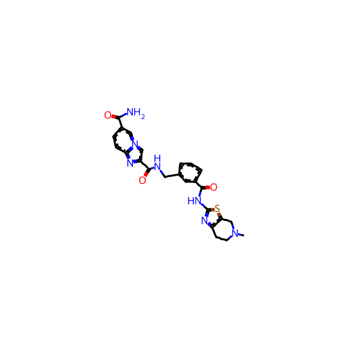 CN1CCc2nc(NC(=O)c3cccc(CNC(=O)c4cn5cc(C(N)=O)ccc5n4)c3)sc2C1